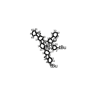 CC(C)(C)c1ccc(Nc2cc3c(cc2-c2ccc4c5cc6c(cc5n5c4c2Bc2cc4oc7ccccc7c4cc2-5)sc2ccccc26)sc2cc(C(C)(C)C)ccc23)cc1